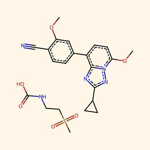 COc1cc(-c2ccc(OC)n3nc(C4CC4)nc23)ccc1C#N.CS(=O)(=O)CCNC(=O)O